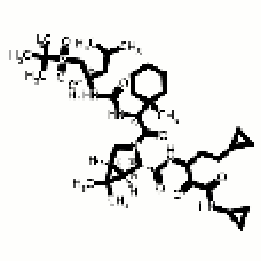 CC(C)C[C@](C)(CS(=O)(=O)C(C)(C)C)NC(=O)N[C@H](C(=O)N1C[C@H]2[C@@H]([C@H]1C(=O)NC(CCC1CC1)C(=O)C(=O)NC1CC1)C2(C)C)C1(C)CCCCC1